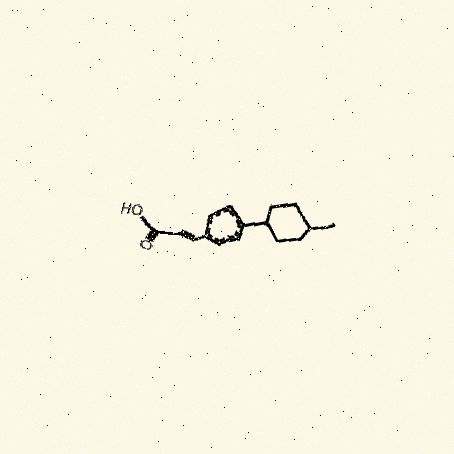 CC1CCC(c2ccc(C=CC(=O)O)cc2)CC1